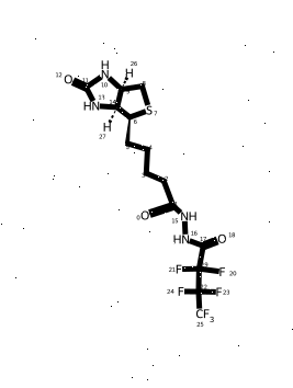 O=C(CCCC[C@@H]1SC[C@@H]2NC(=O)N[C@@H]21)NNC(=O)C(F)(F)C(F)(F)C(F)(F)F